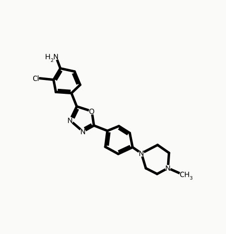 CN1CCN(c2ccc(-c3nnc(-c4ccc(N)c(Cl)c4)o3)cc2)CC1